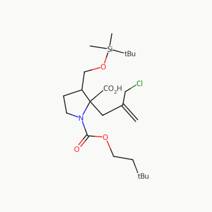 C=C(CCl)CC1(C(=O)O)C(CO[Si](C)(C)C(C)(C)C)CCN1C(=O)OCCC(C)(C)C